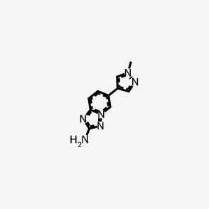 Cn1cc(-c2ccc3nc(N)nn3c2)cn1